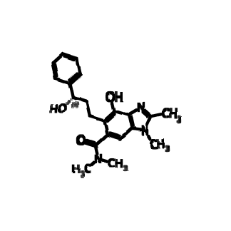 Cc1nc2c(O)c(CC[C@H](O)c3ccccc3)c(C(=O)N(C)C)cc2n1C